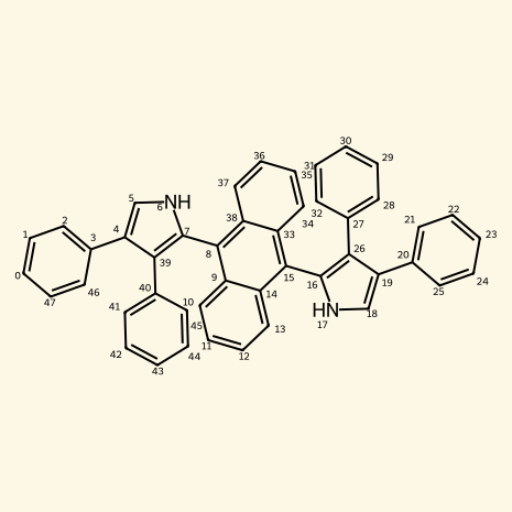 c1ccc(-c2c[nH]c(-c3c4ccccc4c(-c4[nH]cc(-c5ccccc5)c4-c4ccccc4)c4ccccc34)c2-c2ccccc2)cc1